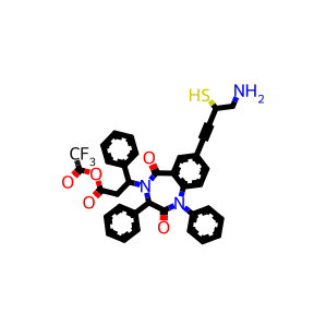 NCC(S)C#Cc1ccc2c(c1)C(=O)N(C(CC(=O)OC(=O)C(F)(F)F)c1ccccc1)C(c1ccccc1)C(=O)N2c1ccccc1